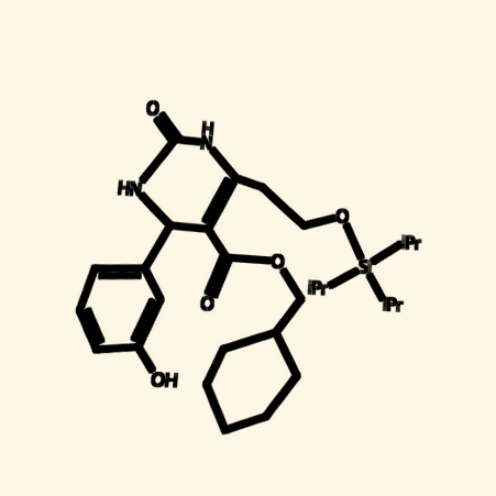 CC(C)[Si](OCCC1=C(C(=O)OCC2CCCCC2)C(c2cccc(O)c2)NC(=O)N1)(C(C)C)C(C)C